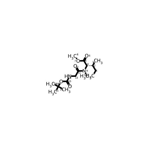 CCC(C)[C@@H](C(=O)OC)N(C)C(=O)CNC(=O)OC(C)(C)C